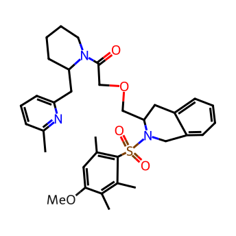 COc1cc(C)c(S(=O)(=O)N2Cc3ccccc3CC2COCC(=O)N2CCCCC2Cc2cccc(C)n2)c(C)c1C